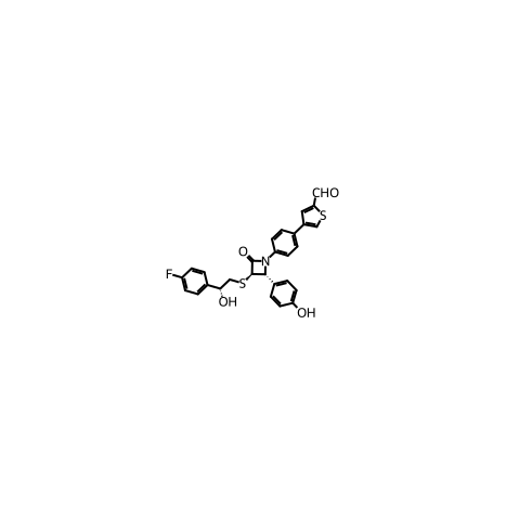 O=Cc1cc(-c2ccc(N3C(=O)[C@H](SC[C@H](O)c4ccc(F)cc4)[C@H]3c3ccc(O)cc3)cc2)cs1